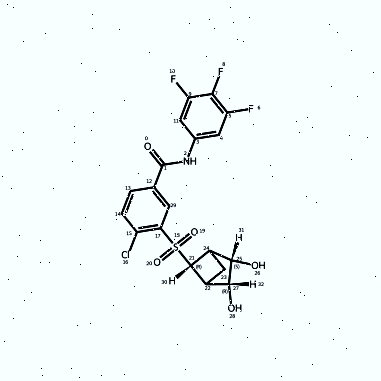 O=C(Nc1cc(F)c(F)c(F)c1)c1ccc(Cl)c(S(=O)(=O)[C@H]2C3CC2[C@H](O)[C@@H]3O)c1